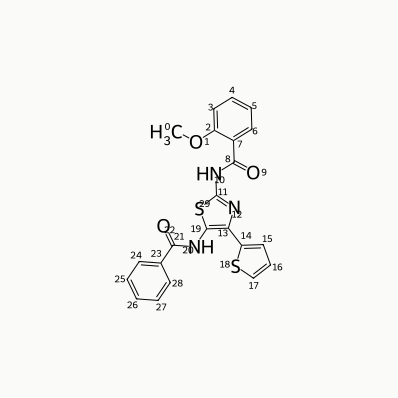 COc1ccccc1C(=O)Nc1nc(-c2cccs2)c(NC(=O)c2ccccc2)s1